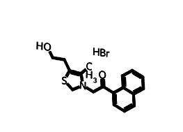 Br.CC1=C(CCO)SCN1CC(=O)c1cccc2ccccc12